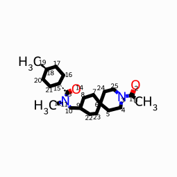 CC(=O)N1CCC2(CCC(CN(C)C(=O)[C@H]3CC[C@H](C)CC3)CC2)CC1